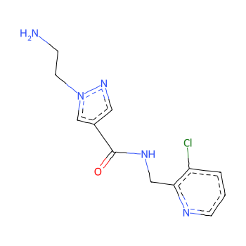 NCCn1cc(C(=O)NCc2ncccc2Cl)cn1